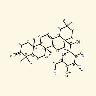 CC1(C)CC[C@]2(C(O)[C@@H]3OC(CO)[C@@H](O)C(O)C3O)CCC3C(=CCC4[C@@]3(C)CCC3C(C)(C)C(=O)CC[C@@]34C)C2C1